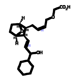 O=C(O)COC/C=C\C[C@H]1[C@@H](/C=C/C(O)C2CCCCC2)[C@H]2CC[C@@H]1O2